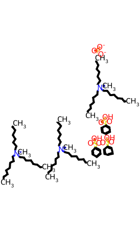 CCCCCCCC[N+](C)(CCCCCCCC)CCCCCCCC.CCCCCCCC[N+](C)(CCCCCCCC)CCCCCCCC.CCCCCCCC[N+](C)(CCCCCCCC)CCCCCCCC.O=S(=O)(O)c1ccccc1.O=S(=O)(O)c1ccccc1.O=S(=O)(O)c1ccccc1.[O-]P([O-])[O-]